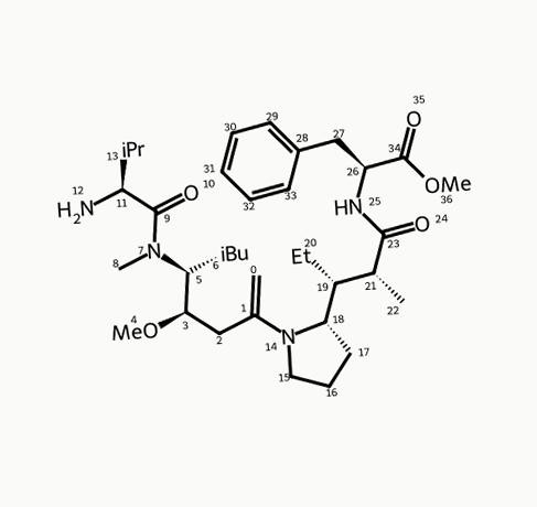 C=C(C[C@@H](OC)[C@H]([C@@H](C)CC)N(C)C(=O)[C@@H](N)C(C)C)N1CCC[C@H]1[C@H](CC)[C@@H](C)C(=O)N[C@@H](Cc1ccccc1)C(=O)OC